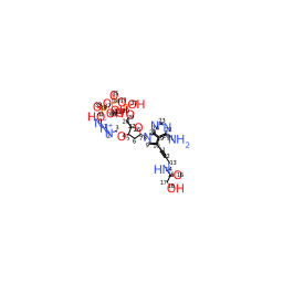 [N-]=[N+]=NCOC1CC(n2cc(C#CCNC(=O)CO)c3c(N)ncnc32)OC1COP(=O)(O)OP(=O)(O)OP(=O)(O)O